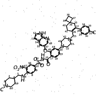 CN1CCC(CNc2ccc(S(=O)(=O)NC(=O)c3ccc(N4CCN(CC5=C(c6ccc(Cl)cc6)CC6(CCC6)CC5)CC4)cc3Oc3cnc4[nH]ccc4c3)cc2[N+](=O)[O-])CC1